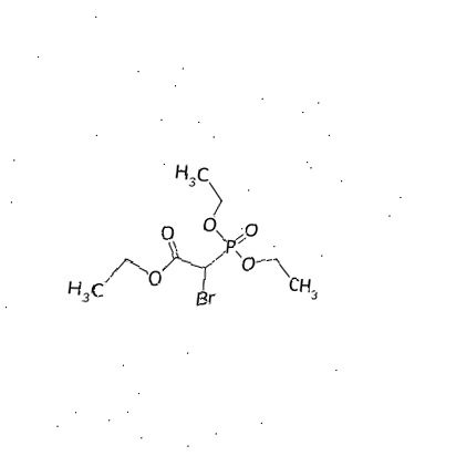 CCOC(=O)C(Br)P(=O)(OCC)OCC